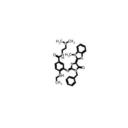 CCNc1ccc(C(=O)NCCN(C)C)cc1N=C1SC(=C2Sc3ccccc3N2C)C(=O)N1Cc1ccccc1